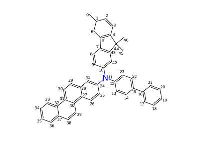 CC1C=CC2=C(C1)c1ccc(N(c3ccc(-c4ccccc4)cc3)c3ccc4c(ccc5c6ccccc6ccc45)c3)cc1C2(C)C